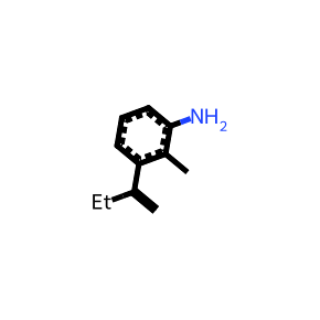 C=C(CC)c1cccc(N)c1C